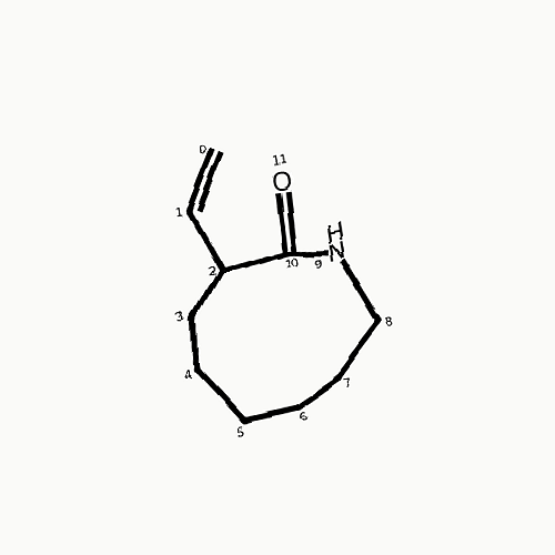 C=CC1CCCCCCNC1=O